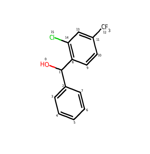 OC(c1ccccc1)c1ccc(C(F)(F)F)cc1Cl